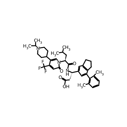 Cc1cccc(C)c1-c1cc([C@H](CC(=O)O)NC(=O)[C@H](CC(C)C)n2cc(C3CCN(C(C)C)CC3)c(C(F)(F)F)cc2=O)cc2c1CCC2